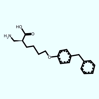 NC[C@H](CCCCOc1ccc(Cc2ccccc2)cc1)C(=O)O